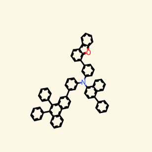 c1ccc(-c2ccc(N(c3cccc(-c4ccc5c(c4)c(-c4ccccc4)c(-c4ccccc4)c4ccccc45)c3)c3cccc(-c4cccc5c4oc4ccccc45)c3)c3ccccc23)cc1